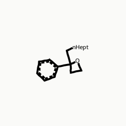 CCCCCCCCC1(c2[c]cccc2)CCO1